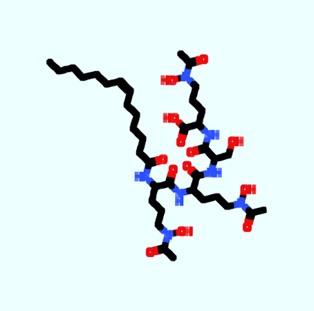 CCCCCC/C=C\CCCCCC(=O)NC(CCCN(O)C(C)=O)C(=O)NC(CCCN(O)C(C)=O)C(=O)NC(CO)C(=O)NC(CCCN(O)C(C)=O)C(=O)O